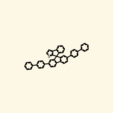 c1ccc(-c2ccc(-c3ccc4c(c3)C3(c5cc(-c6ccc(-c7ccccc7)cc6)ccc5-4)c4ccccc4-c4ccsc43)cc2)cc1